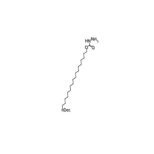 CCCCCCCCCCCCCCCCCCCCCCCCCCCCOC(=O)NN